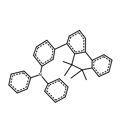 CC1(C)c2ccccc2-c2cccc(-c3cccc(N(c4ccccc4)c4ccccc4)c3)c2C1(C)C